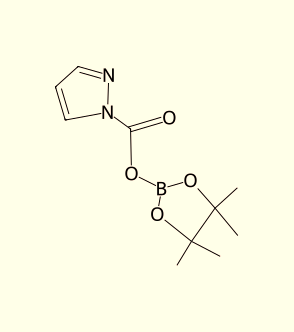 CC1(C)OB(OC(=O)n2cccn2)OC1(C)C